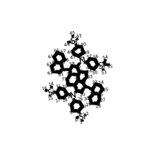 C[Si](C)(C)c1ccc(N(c2ccc([Si](C)(C)C)cc2)c2cc(-c3cccc4ccccc34)c3ccc4c(N(c5ccc([Si](C)(C)C)cc5)c5ccc([Si](C)(C)C)cc5)cc(-c5cccc6ccccc56)c5ccc2c3c54)cc1